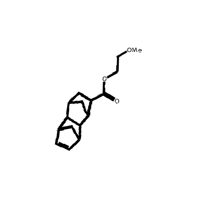 COCCOC(=O)C1CC2CC1C1C3C=CC(C3)C21